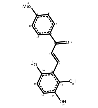 CSc1ccc(C(=O)C=Cc2c(O)ccc(O)c2O)cc1